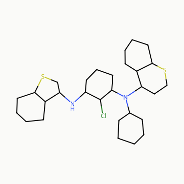 ClC1C(NC2CSC3CCCCC23)CCCC1N(C1CCCCC1)C1CCSC2CCCCC21